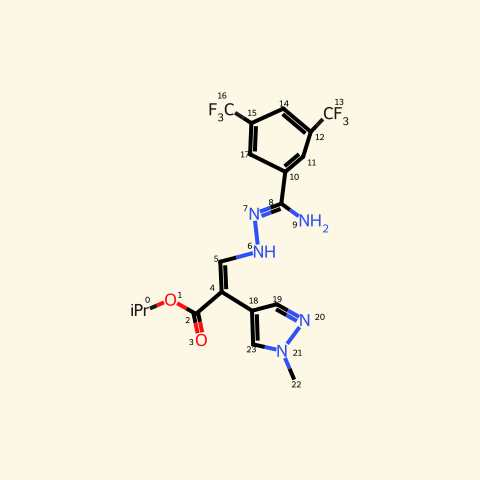 CC(C)OC(=O)/C(=C/N/N=C(\N)c1cc(C(F)(F)F)cc(C(F)(F)F)c1)c1cnn(C)c1